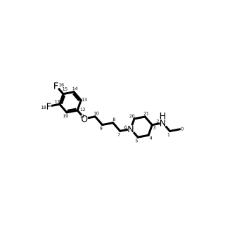 CCNC1CCN(CCCCOc2ccc(F)c(F)c2)CC1